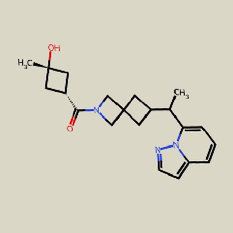 CC(c1cccc2ccnn12)C1CC2(C1)CN(C(=O)[C@H]1C[C@@](C)(O)C1)C2